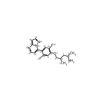 CC(N)CC(C)COc1cc(F)c(-c2ccnc3ccnn23)cc1F